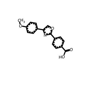 COc1ccc(-c2coc(-c3ccc(C(=O)O)cc3)n2)cc1